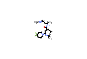 C=N/C=C\CC(C)NC(=O)C1CCCC(=C)/N=C(/N2CCCC(F)(F)CC2)C1